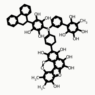 Cc1c(O)c(O)c(O)c(-c2cccc(N(C3=CC=C(c4c(O)c5c6c(c4O)c(O)c(O)c4oc7c(O)c(C)c(C)c(c7c46)OO5)CC3)c3c(O)c(O)c(C4Cc5ccccc5-c5ccccc54)c(O)c3O)c2)c1O